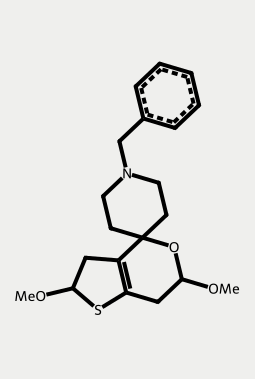 COC1CC2=C(CC(OC)S2)C2(CCN(Cc3ccccc3)CC2)O1